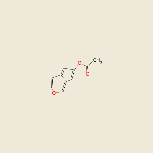 CC(=O)Oc1cc2ccocc-2c1